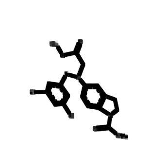 COC(=O)N1CCc2cc(N(CC(=O)OC(C)(C)C)Sc3cc(Cl)cc(Cl)c3)ccc21